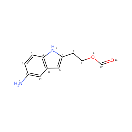 Nc1ccc2[nH]c(CCOC=O)cc2c1